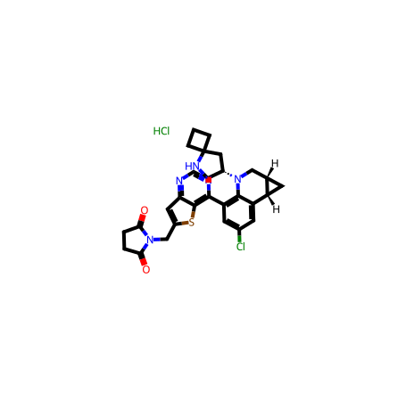 Cl.O=C1CCC(=O)N1Cc1cc2ncnc(-c3cc(Cl)cc4c3N([C@@H]3CNC5(CCC5)C3)C[C@@H]3C[C@H]43)c2s1